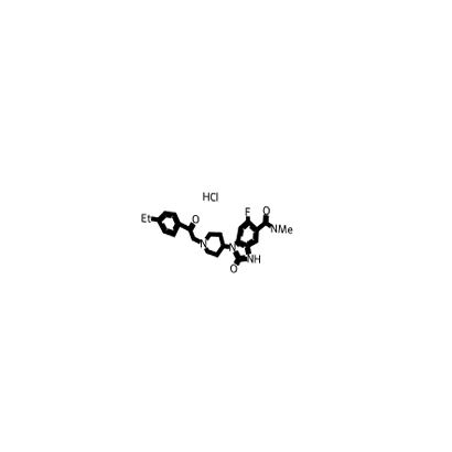 CCc1ccc(C(=O)CN2CCC(n3c(=O)[nH]c4cc(C(=O)NC)c(F)cc43)CC2)cc1.Cl